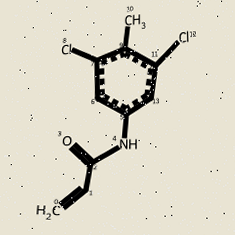 C=CC(=O)Nc1[c]c(Cl)c(C)c(Cl)c1